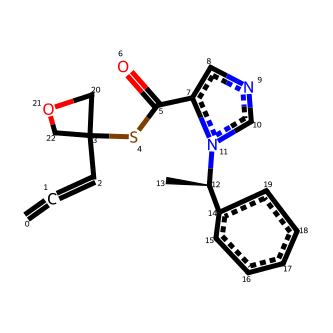 C=C=CC1(SC(=O)c2cncn2[C@H](C)c2ccccc2)COC1